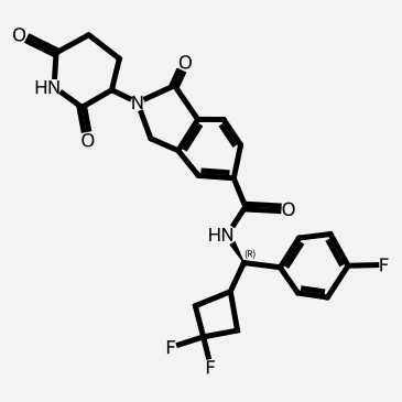 O=C1CCC(N2Cc3cc(C(=O)N[C@@H](c4ccc(F)cc4)C4CC(F)(F)C4)ccc3C2=O)C(=O)N1